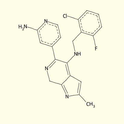 CC1=CC2=C(NCc3c(F)cccc3Cl)C(c3ccnc(N)c3)=NCC2=N1